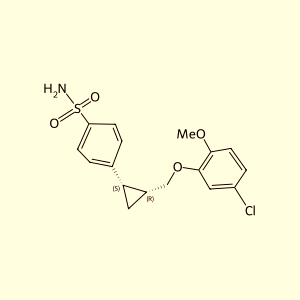 COc1ccc(Cl)cc1OC[C@@H]1C[C@@H]1c1ccc(S(N)(=O)=O)cc1